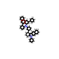 C1=C(c2cccc(N(c3cc(-c4ccccc4)cc(-c4ccccc4)c3)c3ccccc3-c3ccccc3)c2)c2c(n(-c3ccccc3)c3cc4ccccc4cc23)CC1